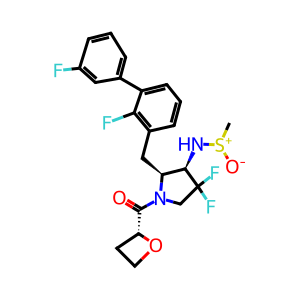 C[S+]([O-])N[C@@H]1[C@H](Cc2cccc(-c3cccc(F)c3)c2F)N(C(=O)[C@H]2CCO2)CC1(F)F